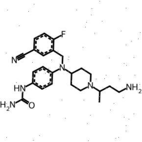 CC(CCN)N1CCC(N(Cc2cc(C#N)ccc2F)c2ccc(NC(N)=O)cc2)CC1